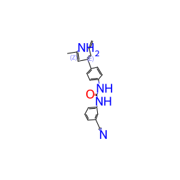 C=C/C=C(\C=C(\C)N)c1ccc(NC(=O)Nc2cccc(C#N)c2)cc1